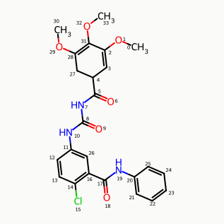 COC1=CC(C(=O)NC(=O)Nc2ccc(Cl)c(C(=O)Nc3ccccc3)c2)CC(OC)=C1OC